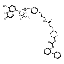 CC(C)(C)[Si](C)(C)O[C@@H](CNCc1ccc(CCCNC(=O)CCN2CCC(OC(=O)Nc3ccccc3-c3ccccc3)CC2)cc1)c1ccc(O)c2[nH]c(=O)ccc12